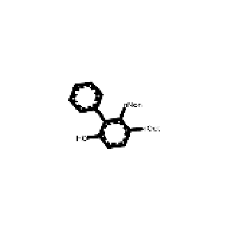 CCCCCCCCCc1c(CCCCCCCC)ccc(O)c1-c1ccccc1